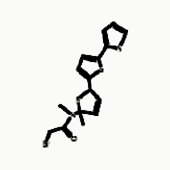 CN(C(=O)CBr)C1(C)C=CC(c2ccc(-c3cccs3)s2)S1